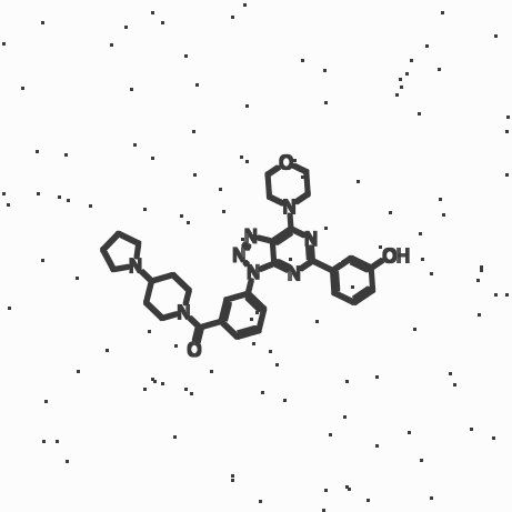 O=C(c1cccc(-n2nnc3c(N4CCOCC4)nc(-c4cccc(O)c4)nc32)c1)N1CCC(N2CCCC2)CC1